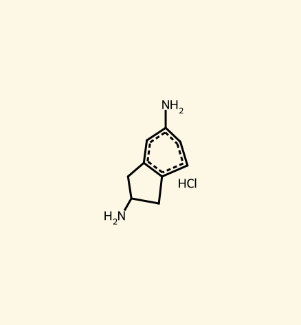 Cl.Nc1ccc2c(c1)CC(N)C2